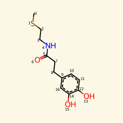 CSCCNC(=O)CCc1ccc(O)c(O)c1